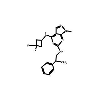 Cn1ncc2c(NC3CC(F)(F)C3)nc(NCC(N)c3ccccc3)nc21